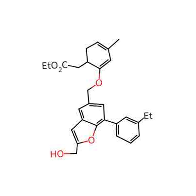 CCOC(=O)CC1CC=C(C)C=C1OCc1cc(-c2cccc(CC)c2)c2oc(CO)cc2c1